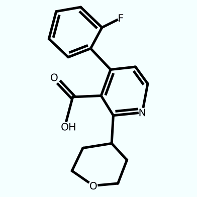 O=C(O)c1c(-c2ccccc2F)ccnc1C1CCOCC1